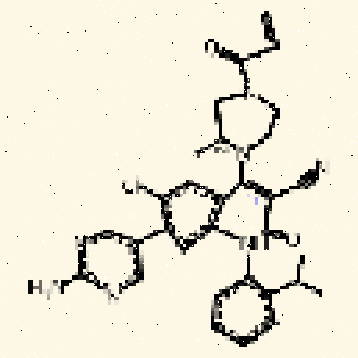 C=CC(=O)N1CCN(/C(=C(\C#N)C=O)c2cc(Cl)c(-c3cnc(N)nc3)cc2Nc2ccccc2C(C)C)[C@@H](C)C1